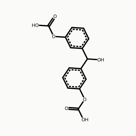 O=C(O)Oc1cccc(C(O)c2cccc(OC(=O)O)c2)c1